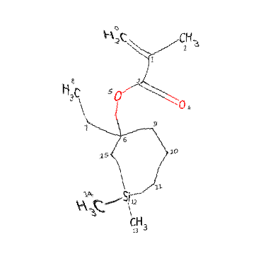 C=C(C)C(=O)OC1(CC)CCC[Si](C)(C)C1